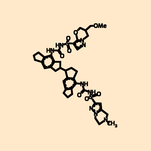 COCC1COc2c(S(=O)(=O)NC(=O)Nc3c4c(cc5c3CC(C3CCc6c3cc3c(c6NC(=O)NS(=O)(=O)c6cc7n(n6)CCN(C)C7)CCC3)C5)CCC4)cnn2C1